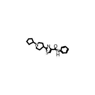 O=C(Nc1ccccc1)c1csc(C2CCN(C3CCCC3)CC2)n1